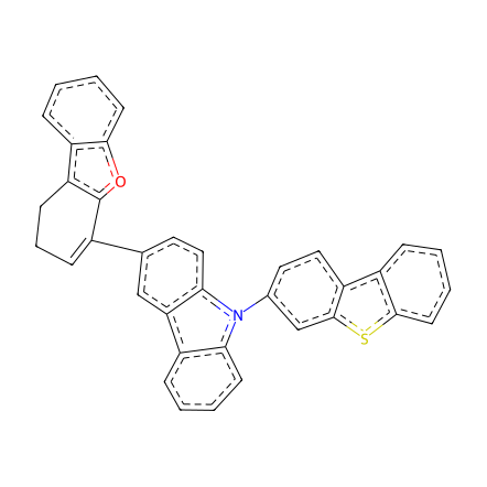 C1=C(c2ccc3c(c2)c2ccccc2n3-c2ccc3c(c2)sc2ccccc23)c2oc3ccccc3c2CC1